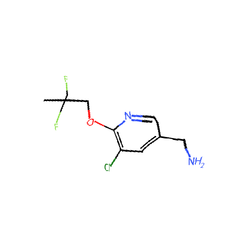 CC(F)(F)COc1ncc(CN)cc1Cl